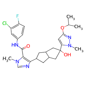 CC(C)Oc1cc(C2(O)CC3CC(c4ncn(C)c4C(=O)Nc4ccc(F)c(Cl)c4)CC3C2)n(C)n1